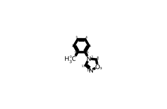 Cc1ccccc1N1[CH]ON=C1